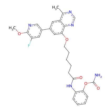 COc1ncc(-c2cc(OCCCCCC(=O)Nc3ccccc3OC(N)=O)c3ncnc(C)c3c2)cc1F